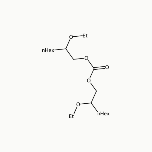 CCCCCCC(COC(=O)OCC(CCCCCC)OCC)OCC